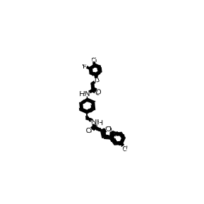 O=C(COc1ccc(Cl)c(F)c1)N[C@H]1CC[C@H](CNC(=O)c2cc3cc(Cl)ccc3o2)CC1